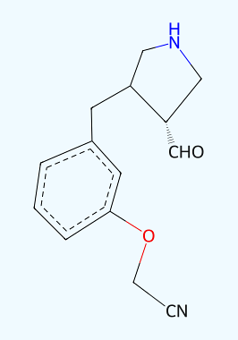 N#CCOc1cccc(CC2CNC[C@@H]2C=O)c1